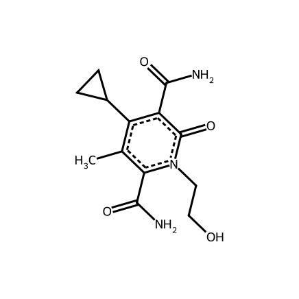 Cc1c(C2CC2)c(C(N)=O)c(=O)n(CCO)c1C(N)=O